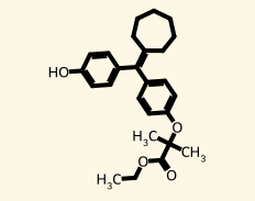 CCOC(=O)C(C)(C)Oc1ccc(C(=C2CCCCCC2)c2ccc(O)cc2)cc1